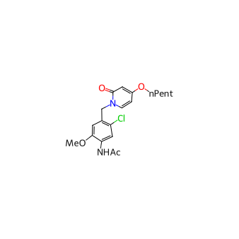 CCCCCOc1ccn(Cc2cc(OC)c(NC(C)=O)cc2Cl)c(=O)c1